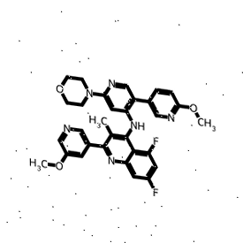 COc1cncc(-c2nc3cc(F)cc(F)c3c(Nc3cc(N4CCOCC4)ncc3-c3ccc(OC)nc3)c2C)c1